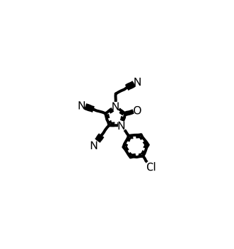 N#CCn1c(C#N)c(C#N)n(-c2ccc(Cl)cc2)c1=O